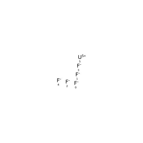 [F-].[F-].[F-].[F-].[F-].[U+5]